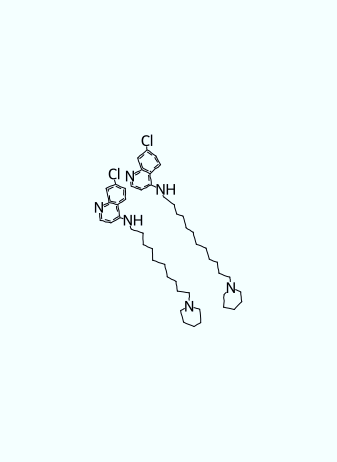 Clc1ccc2c(NCCCCCCCCCCCCN3CCCCC3)ccnc2c1.Clc1ccc2c(NCCCCCCCCCCN3CCCCC3)ccnc2c1